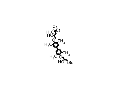 CCC(C)(C)CC(O)COc1c(C)cc(-c2cc(C)c(OCC(O)CC(C)(C)C)c(C)c2)cc1C